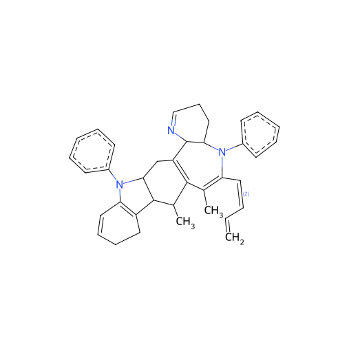 C=C/C=C\C1=C(C)C2=C(CC3C(C4=C(C=CCC4)N3c3ccccc3)C2C)C2N=CCCC2N1c1ccccc1